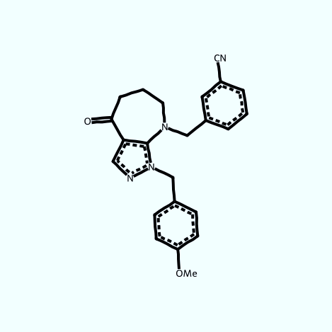 COc1ccc(Cn2ncc3c2N(Cc2cccc(C#N)c2)CCCC3=O)cc1